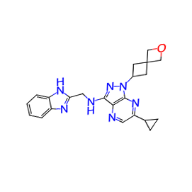 c1ccc2[nH]c(CNc3nn(C4CC5(COC5)C4)c4nc(C5CC5)cnc34)nc2c1